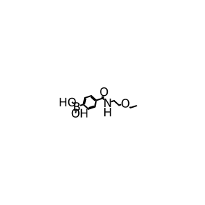 CCOCCNC(=O)c1ccc(B(O)O)cc1